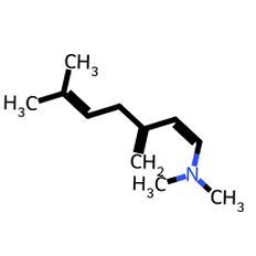 C=C(/C=C\N(C)C)CC=C(C)C